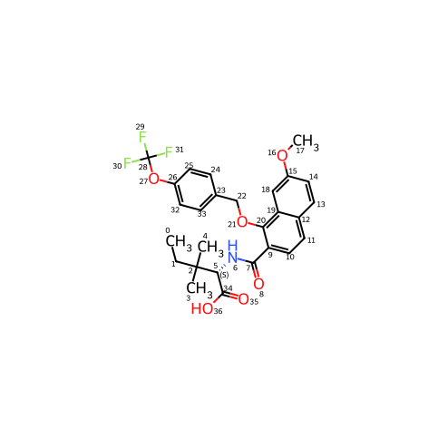 CCC(C)(C)[C@H](NC(=O)c1ccc2ccc(OC)cc2c1OCc1ccc(OC(F)(F)F)cc1)C(=O)O